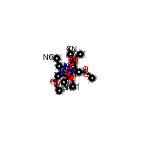 [C-]#[N+]c1cccc(-c2ccc(-n3c4ccc(C(=O)OCc5ccccc5)cc4c4cc(C(=O)OCc5ccccc5)ccc43)c(-c3nc(-c4cccc(-c5ccc(C#N)cc5)c4)nc(-c4cc(-c5cccc(C#N)c5)ccc4-n4c5ccc(C(=O)OCc6ccccc6)cc5c5cc(C(=O)OCc6ccccc6)ccc54)n3)c2)c1